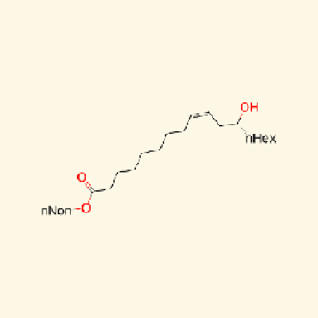 CCCCCCCCCOC(=O)CCCCCCC/C=C\C[C@H](O)CCCCCC